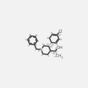 C[C@@H](O)C1CCN(Cc2ccccc2)C[C@@H]1C1C=CC(Cl)=CC1